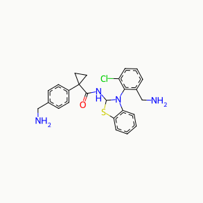 NCc1ccc(C2(C(=O)NC3Sc4ccccc4N3c3c(Cl)cccc3CN)CC2)cc1